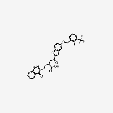 Cc1c(COc2ccc3oc(C(=O)CC(CCn4nnc5ccccc5c4=O)C(=O)O)cc3c2)cccc1C(F)(F)F